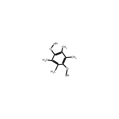 CCCOc1c(C)c(C)c(OCCC)c(C)c1C